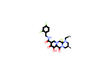 CC(C)CN1C[C@@H](C)CN2C(=O)c3c(O)c(=O)c(C(=O)NCc4ccc(F)cc4F)cn3CC12S